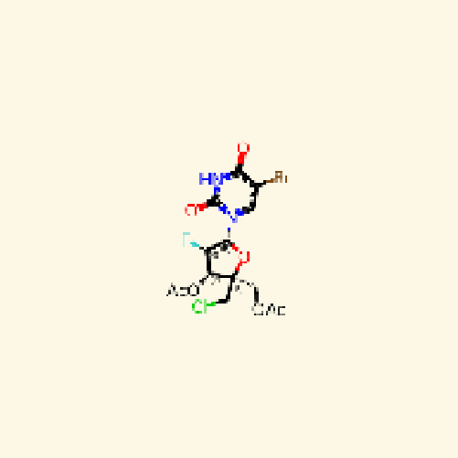 CC(=O)OC[C@@]1(CCl)O[C@@H](n2cc(Br)c(=O)[nH]c2=O)[C@H](F)[C@@H]1OC(C)=O